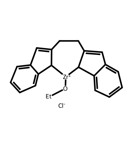 CC[O][Zr+]1[CH]2C(=Cc3ccccc32)CCC2=Cc3ccccc3[CH]21.[Cl-]